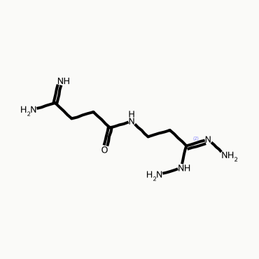 N=C(N)CCC(=O)NCC/C(=N/N)NN